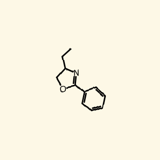 CCC1COC(c2ccccc2)=N1